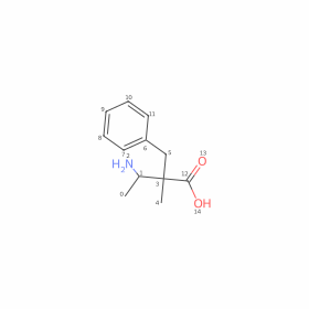 CC(N)C(C)(Cc1ccccc1)C(=O)O